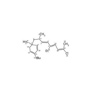 CCC(/C=C/C(C)CC1(C)C=CC(C(C)(C)C)=CC1)=C\C=C(/C)Cl